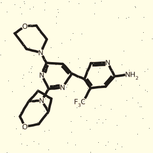 Nc1cc(C(F)(F)F)c(-c2cc(N3CCOCC3)nc(N3C4CCC3COC4)n2)cn1